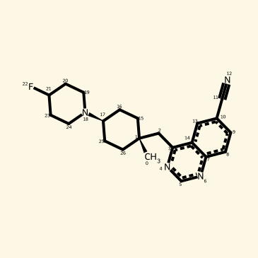 C[C@]1(Cc2ncnc3ccc(C#N)cc23)CC[C@H](N2CCC(F)CC2)CC1